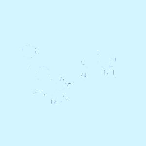 CC(C)(C)C=C(CN)C(=O)N1CCC[C@@H](n2nc(-c3ccc(Oc4ccccc4)cc3)c3c(N)ncnc32)C1